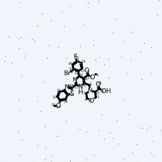 COC(=O)C1=C(CN2CCOCC2C(=O)O)NC(c2nc3ccc(OC)cc3s2)=NC1c1ccc(F)cc1Br